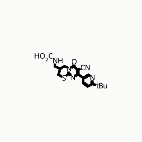 CC(C)(C)c1ccc(-c2nc3n(c(=O)c2C#N)CC(CNC(=O)O)CS3)cn1